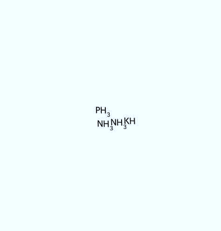 N.N.P.[KH]